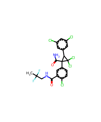 CC(F)(F)CNC(=O)c1cc(C2(C(N)=O)C(c3cc(Cl)cc(Cl)c3)C2(Cl)Cl)ccc1Cl